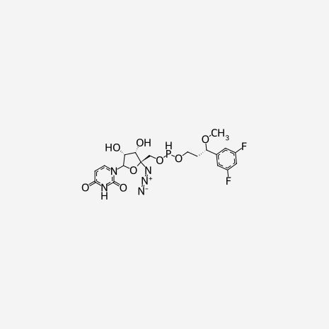 CO[C@@H](CCOPOC[C@@]1(N=[N+]=[N-])OC(n2ccc(=O)[nH]c2=O)[C@H](O)[C@@H]1O)c1cc(F)cc(F)c1